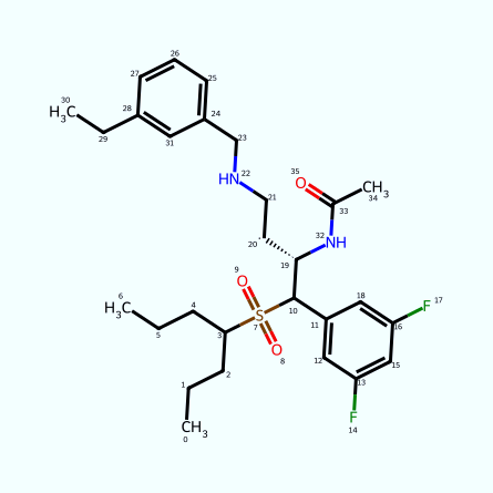 CCCC(CCC)S(=O)(=O)C(c1cc(F)cc(F)c1)[C@H]([CH]CNCc1cccc(CC)c1)NC(C)=O